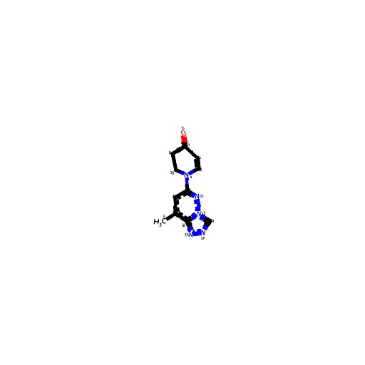 Cc1cc(N2C=CC(=O)CC2)nn2cnnc12